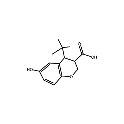 CC(C)(C)C1c2cc(O)ccc2OCC1C(=O)O